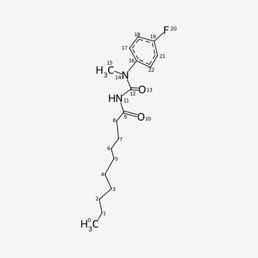 CCCCCCCCCC(=O)NC(=O)N(C)c1ccc(F)cc1